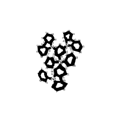 c1ccc(-n2c3ccccc3c3ccc([Si](c4ccccc4)(c4ccccc4)c4cc(-n5c6ccccc6c6ccccc65)cc(-n5c6ccccc6c6ccccc65)c4)cc32)cc1